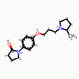 CC1CCCN1CCCOc1ccc(N2C[CH]CC2=O)cc1